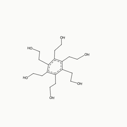 OCCc1c(CCO)c(CCO)c(CCO)c(CCO)c1CCO